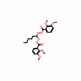 [CH2]CCCC[C](OOC(=O)c1cccc(OC)c1OC)OOC(=O)c1cccc(OC)c1OC